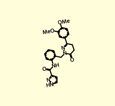 COc1ccc(C2=NN(Cc3ccccc3NC(=O)c3cc[nH]n3)C(=O)CC2)cc1OC